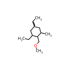 CC=C1CC(C)C(COC)C(CC)C1